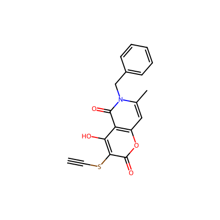 C#CSc1c(O)c2c(=O)n(Cc3ccccc3)c(C)cc2oc1=O